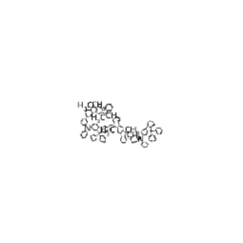 CC1(C)c2ccccc2-c2cc3c(cc21)-c1cc(-c2cccc(N(c4ccccc4)c4ccc5c(c4)C(c4ccccc4)(c4ccccc4)c4ccc(CC6(C)c7ccccc7-c7cc8c(cc76)-c6cccc(-c7ccc(N(c9ccccc9)c9ccc%10c(c9)C(c9ccccc9)(c9ccccc9)c9ccccc9-%10)cc7)c6C8(C)C)cc4-5)c2)ccc1C3(C)C